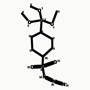 CO[Si](OC)(OC)C1CCC(S(=O)(=O)N=[N+]=[N-])CC1